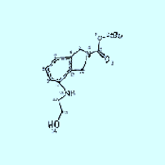 CC(C)(C)OC(=O)N1Cc2cccc(NCCO)c2C1